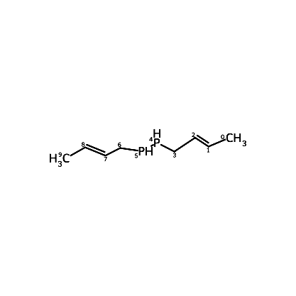 CC=CCPPCC=CC